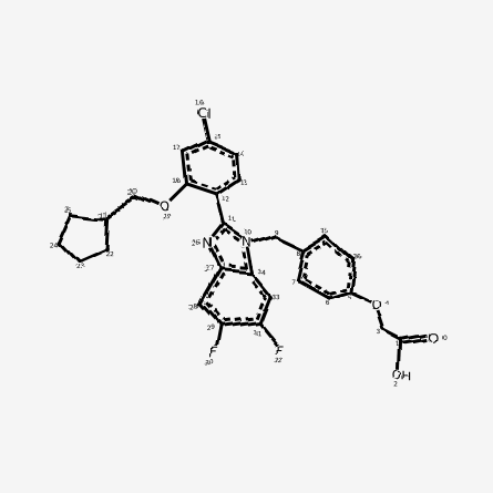 O=C(O)COc1ccc(Cn2c(-c3ccc(Cl)cc3OCC3CCCC3)nc3cc(F)c(F)cc32)cc1